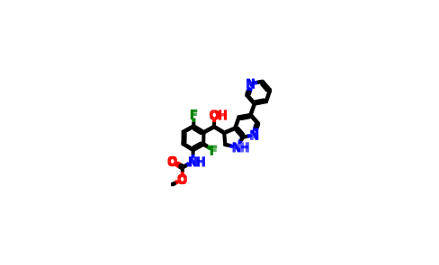 COC(=O)Nc1ccc(F)c(C(O)C2CNc3ncc(-c4cccnc4)cc32)c1F